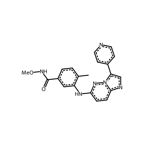 CONC(=O)c1ccc(C)c(Nc2ccc3ncc(-c4ccncc4)n3n2)c1